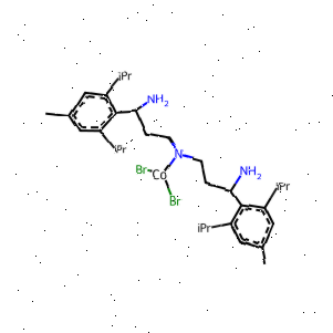 Cc1cc(C(C)C)c(C(N)CC[N](CCC(N)c2c(C(C)C)cc(C)cc2C(C)C)[Co]([Br])[Br])c(C(C)C)c1